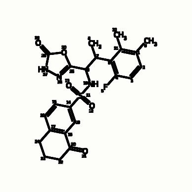 Cc1ccc(F)c(C(C)C(NS(=O)(=O)c2ccc3c(c2)C(=O)CCC3)c2n[nH]c(=O)o2)c1C